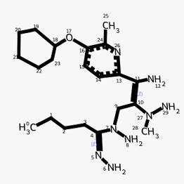 CCCC/C(=N/N)N(N)C/C(=C(/N)c1ccc(OC2CCCCC2)c(C)n1)N(C)N